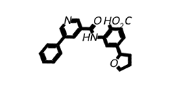 O=C(Nc1cc(C2CCCO2)ccc1C(=O)O)c1cncc(-c2ccccc2)c1